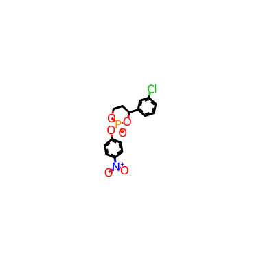 O=[N+]([O-])c1ccc(OP2(=O)OCCC(c3cccc(Cl)c3)O2)cc1